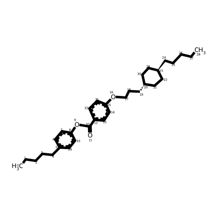 CCCCCc1ccc(OC(=O)c2ccc(OCCC[C@H]3CC[C@H](CCCCC)CC3)cc2)cc1